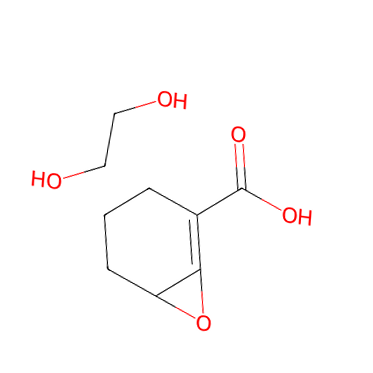 O=C(O)C1=C2OC2CCC1.OCCO